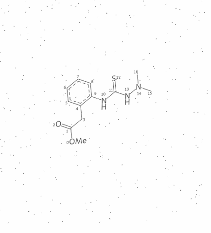 COC(=O)Cc1ccccc1NC(=S)NN(C)C